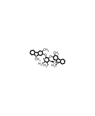 C#Cc1c(P)c(P)nc(Oc2cc3c(cc2C)c2ccccc2n3C)c1Oc1cc2c(cc1C)c1ccccc1n2C